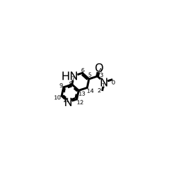 CN(C)C(=O)C1=CNc2ccncc2C1